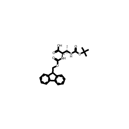 C[C@H](NC(=O)OC(C)(C)C)[C@@H](NC(=O)OCC1c2ccccc2-c2ccccc21)C(=O)O